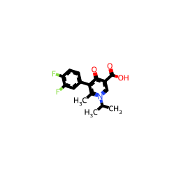 Cc1c(-c2ccc(F)c(F)c2)c(=O)c(C(=O)O)cn1C(C)C